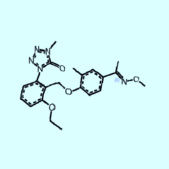 CCOc1cccc(-n2nnn(C)c2=O)c1COc1ccc(/C(C)=N/OC)cc1C